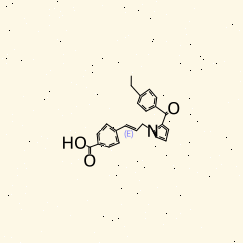 CCc1ccc(C(=O)c2cccn2C/C=C/c2ccc(C(=O)O)cc2)cc1